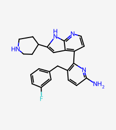 Nc1ccc(Cc2cccc(F)c2)c(-c2ccnc3[nH]c(C4CCNCC4)cc23)n1